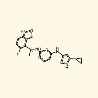 C[C@H](Nc1nccc(Nc2cc(C3CC3)[nH]n2)n1)c1c(F)ccc2[nH]ncc12